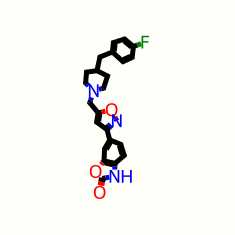 O=c1[nH]c2ccc(-c3cc(CN4CCC(Cc5ccc(F)cc5)CC4)on3)cc2o1